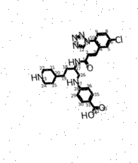 O=C(/C=C/c1cc(Cl)ccc1-n1cnnn1)NC(CCC1CCNCC1)CNc1ccc(C(=O)O)cc1